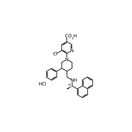 C[C@@H](NCC1CCN(c2ncc(C(=O)O)cc2Cl)CC1c1ccccc1)c1cccc2ccccc12.Cl